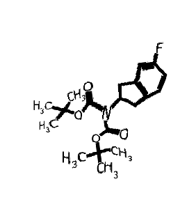 CC(C)(C)OC(=O)N(C(=O)OC(C)(C)C)C1Cc2ccc(F)cc2C1